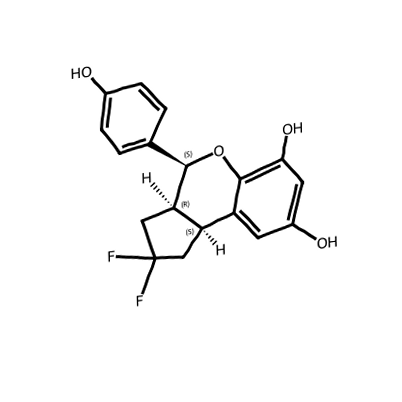 Oc1ccc([C@H]2Oc3c(O)cc(O)cc3[C@H]3CC(F)(F)C[C@H]32)cc1